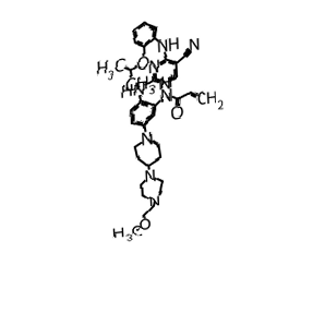 C=CC(=O)Nc1cc(N2CCC(N3CCN(CCOC)CC3)CC2)ccc1Nc1ncc(C#N)c(Nc2ccccc2OC(C)C)n1